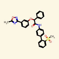 Cc1nc(-c2cccc(OC(C(=O)Nc3ccc(-c4ccccc4S(C)(=O)=O)cc3)c3ccccc3)c2)no1